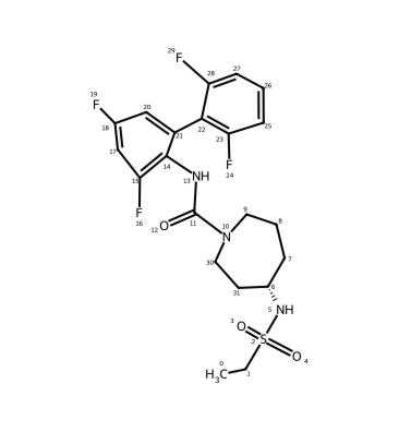 CCS(=O)(=O)N[C@H]1CCCN(C(=O)Nc2c(F)cc(F)cc2-c2c(F)cccc2F)CC1